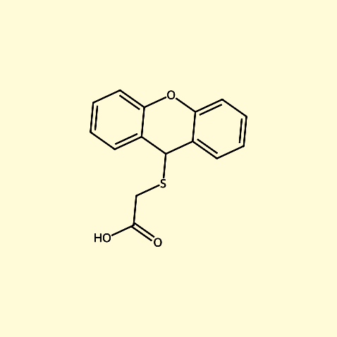 O=C(O)CSC1c2ccccc2Oc2ccccc21